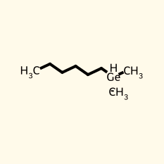 CCCCC[CH2][GeH]([CH3])[CH3]